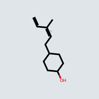 C=C/C(C)=C\CC1CCC(O)CC1